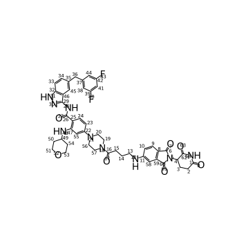 O=C1CCC(N2C(=O)c3ccc(NCCCC(=O)N4CCN(c5ccc(C(=O)Nc6n[nH]c7ccc(Cc8cc(F)cc(F)c8)cc67)c(NC6CCOCC6)c5)CC4)cc3C2=O)C(=O)N1